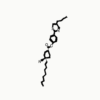 CCCCCCCCC[C@]1(C#N)CC[C@H](C(=O)Oc2ccc(-c3ncc(CCCC)cn3)cc2)CC1